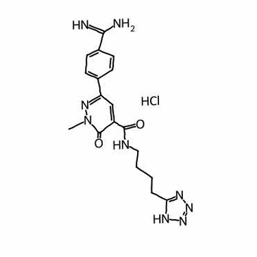 Cl.Cn1nc(-c2ccc(C(=N)N)cc2)cc(C(=O)NCCCCc2nnn[nH]2)c1=O